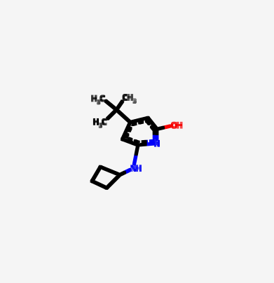 CC(C)(C)c1cc(O)nc(NC2CCC2)c1